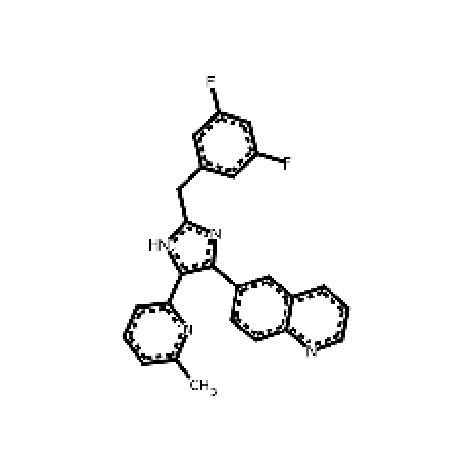 Cc1cccc(-c2[nH]c(Cc3cc(F)cc(F)c3)nc2-c2ccc3ncccc3c2)n1